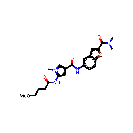 COCCCC(=O)Nc1cc(C(=O)Nc2ccc3sc(C(=O)N(C)C)cc3c2)cn1C